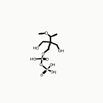 COC(C)C(CO)(CO)COP(=O)(O)OP(=O)(O)O